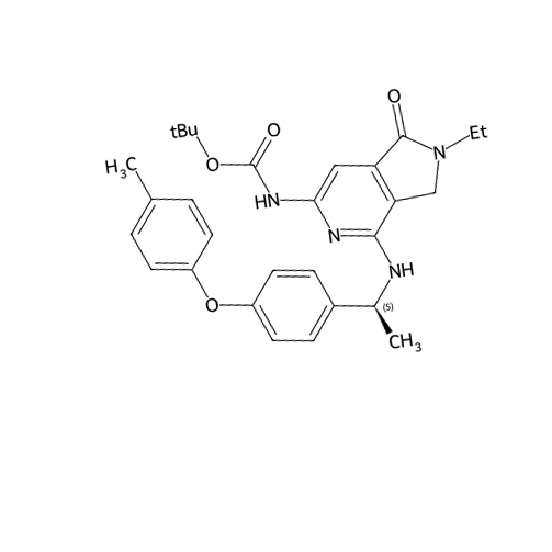 CCN1Cc2c(cc(NC(=O)OC(C)(C)C)nc2N[C@@H](C)c2ccc(Oc3ccc(C)cc3)cc2)C1=O